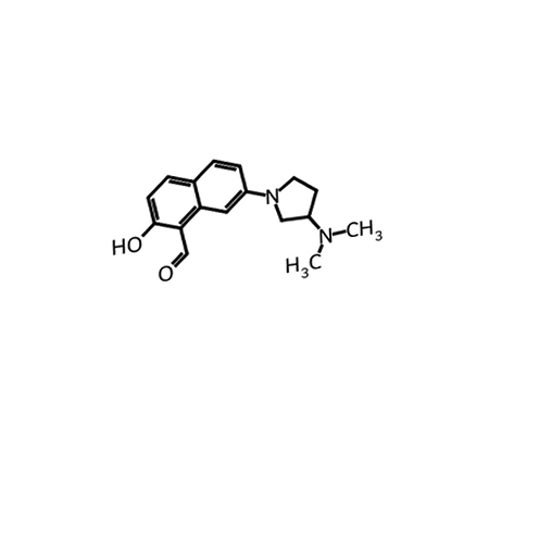 CN(C)C1CCN(c2ccc3ccc(O)c(C=O)c3c2)C1